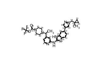 CC(c1ccnc(Nc2nc3ccc(-c4cnn(CC5(C)CC5)c4)cc3[nH]2)c1)N1CCN(C(=O)OC(F)(F)F)CC1